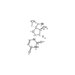 CC[C@@]1(CBr)O[C@@H](n2ccc(=O)[nH]c2=O)[C@@H](F)[C@@H]1C